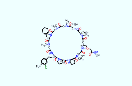 CC[C@H](C)[C@@H]1NC(=O)[C@H](CC(C)C)N(C)C(=O)C[C@@H](COCC(=O)NC(C)(C)C)NC(=O)[C@H](C(C)C)N(C)C(=O)C2(CCCC2)NC(=O)[C@@H]2CCCN2C(=O)[C@H](CCc2ccc(C(F)(F)F)c(Cl)c2)NC(=O)CN(C)C(=O)[C@H](CC2CCCCC2)N(C)C(=O)CN(C)C(=O)CN(C)C1=O